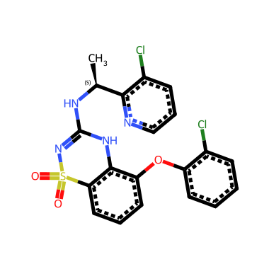 C[C@H](NC1=NS(=O)(=O)c2cccc(Oc3ccccc3Cl)c2N1)c1ncccc1Cl